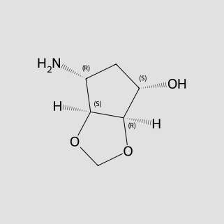 N[C@@H]1C[C@H](O)[C@H]2OCO[C@H]21